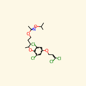 CC(=NOC(C)C)OCCCC(C)Oc1c(Cl)cc(OCC=C(Cl)Cl)cc1Cl